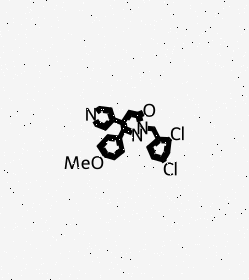 COc1ccc(-c2nn(Cc3ccc(Cl)cc3Cl)c(=O)cc2-c2ccncc2)cc1